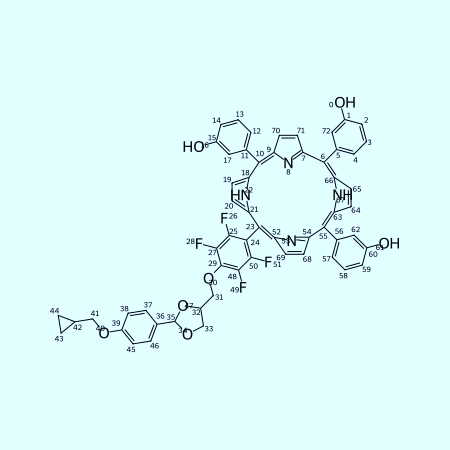 Oc1cccc(-c2c3nc(c(-c4cccc(O)c4)c4ccc([nH]4)c(-c4c(F)c(F)c(OCC5COC(c6ccc(OCC7CC7)cc6)O5)c(F)c4F)c4nc(c(-c5cccc(O)c5)c5ccc2[nH]5)C=C4)C=C3)c1